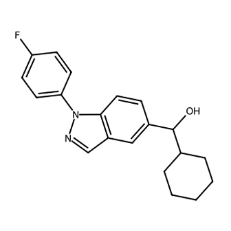 OC(c1ccc2c(cnn2-c2ccc(F)cc2)c1)C1CCCCC1